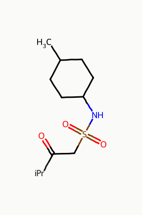 CC1CCC(NS(=O)(=O)CC(=O)C(C)C)CC1